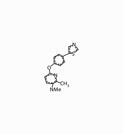 CNc1ccc(Oc2ccc(-c3cncs3)cc2)nc1C